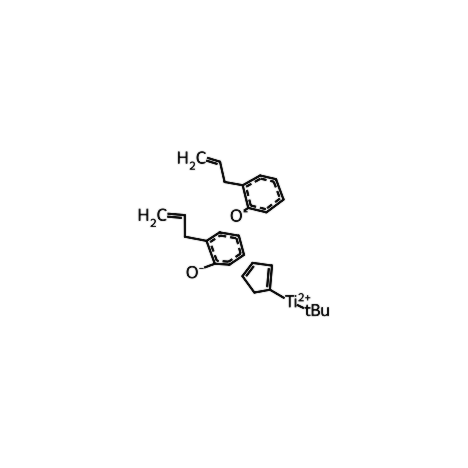 C=CCc1ccccc1[O-].C=CCc1ccccc1[O-].C[C](C)(C)[Ti+2][C]1=CC=CC1